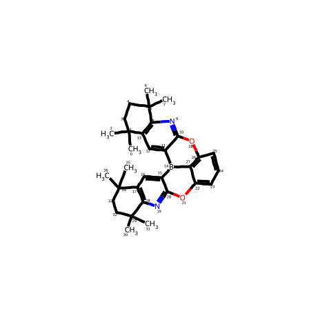 CC1(C)CCC(C)(C)c2nc3c(cc21)B1c2cc4c(nc2Oc2cccc(c21)O3)C(C)(C)CCC4(C)C